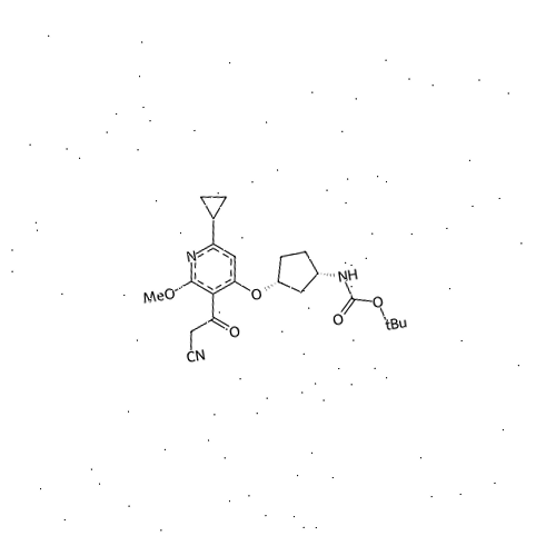 COc1nc(C2CC2)cc(O[C@@H]2CC[C@H](NC(=O)OC(C)(C)C)C2)c1C(=O)CC#N